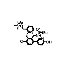 CC(C)(C)[S+]([O-])NCc1c(-c2ccc(O)nc2)ccc(Cl)c1Sc1ncccc1CO[Si](C)(C)C(C)(C)C